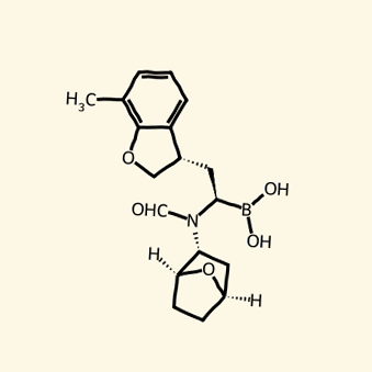 Cc1cccc2c1OC[C@H]2C[C@@H](B(O)O)N(C=O)[C@@H]1C[C@H]2CC[C@@H]1O2